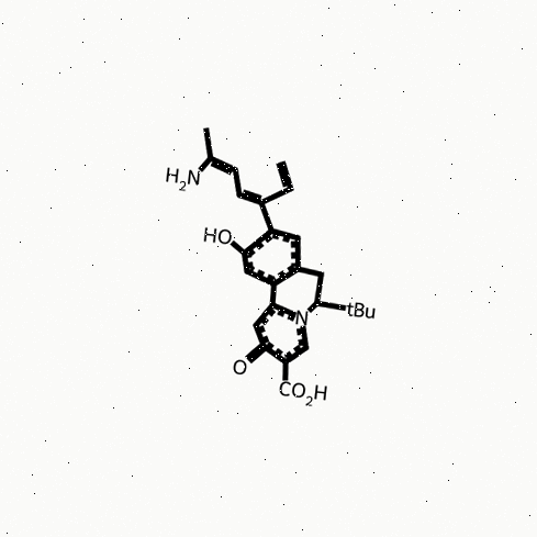 C=C/C(=C\C=C(\C)N)c1cc2c(cc1O)-c1cc(=O)c(C(=O)O)cn1C(C(C)(C)C)C2